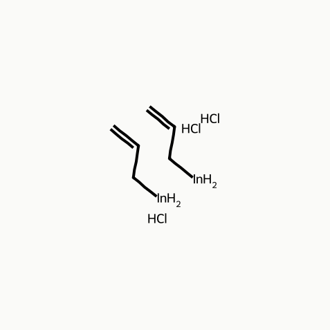 C=C[CH2][InH2].C=C[CH2][InH2].Cl.Cl.Cl